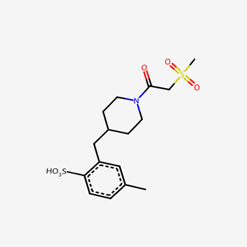 Cc1ccc(S(=O)(=O)O)c(CC2CCN(C(=O)CS(C)(=O)=O)CC2)c1